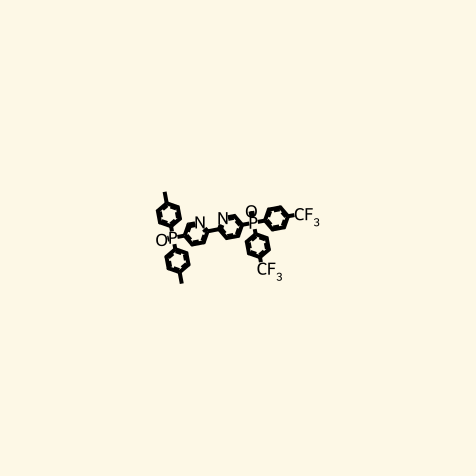 Cc1ccc(P(=O)(c2ccc(C)cc2)c2ccc(-c3ccc(P(=O)(c4ccc(C(F)(F)F)cc4)c4ccc(C(F)(F)F)cc4)cn3)nc2)cc1